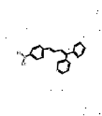 CCN(CC)c1ccc(C=CC=C(c2ccccc2)c2ccccc2)cc1